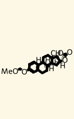 COCOc1ccc2c(c1)CC[C@@H]1[C@@H]2CC[C@]2(C)[C@@H]3OC(=O)O[C@@H]3C[C@@H]12